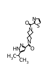 CC(C)c1cc(C(=O)N2CC3(C2)CN(C(=O)c2nccs2)C3)n[nH]1